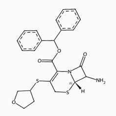 NC1C(=O)N2C(C(=O)OC(c3ccccc3)c3ccccc3)=C(SC3CCOC3)CS[C@@H]12